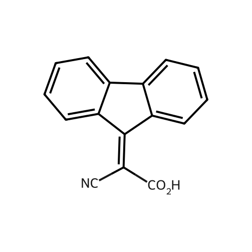 N#CC(C(=O)O)=C1c2ccccc2-c2ccccc21